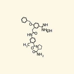 Cc1cc(NC(=O)Cc2cc(C(=N)N)ccc2OCc2ccccc2)ccc1C(=O)N1CCCC1C(N)=O.Cl